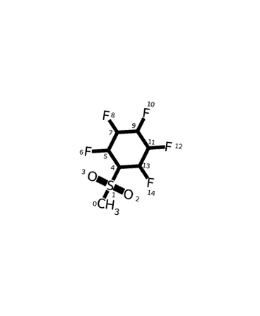 CS(=O)(=O)C1C(F)C(F)C(F)C(F)C1F